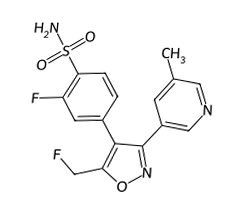 Cc1cncc(-c2noc(CF)c2-c2ccc(S(N)(=O)=O)c(F)c2)c1